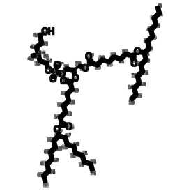 CCCCCCCCC(CCCCCCCC)OC(=O)CCCCCCC(=O)OC[C@@H](COP(=O)([O-])OCC[N+](C)(C)CCCO)OC(=O)CCCCCCC(=O)OC(CCCCCCCC)CCCCCCCC